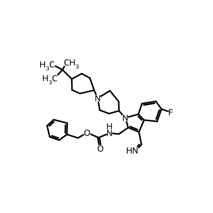 CC(C)(C)C1CCC(N2CCC(n3c(CNC(=O)OCc4ccccc4)c(C=N)c4cc(F)ccc43)CC2)CC1